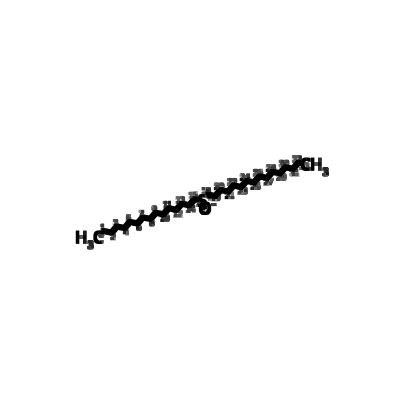 CCCCCCCCCCCCCCCC[S+]([O-])CCCCCCCCCCCCCCCC